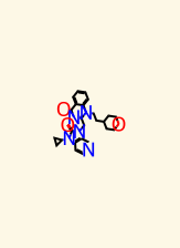 O=c1nc(Cn2c(=O)n(C3CC3)c3ccncc32)n(CCC2CCOCC2)c2ccccc12